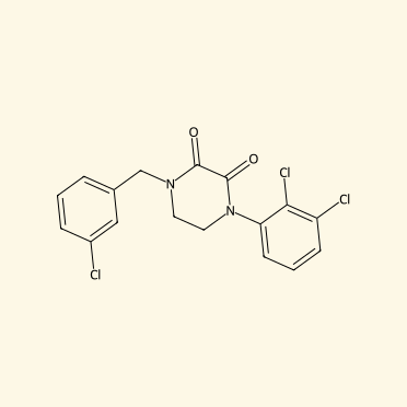 O=C1C(=O)N(c2cccc(Cl)c2Cl)CCN1Cc1cccc(Cl)c1